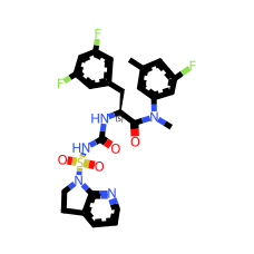 Cc1cc(F)cc(N(C)C(=O)[C@H](Cc2cc(F)cc(F)c2)NC(=O)NS(=O)(=O)N2CCc3cccnc32)c1